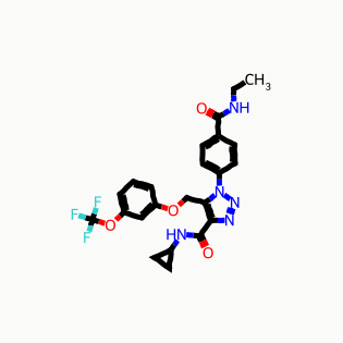 CCNC(=O)c1ccc(-n2nnc(C(=O)NC3CC3)c2COc2cccc(OC(F)(F)F)c2)cc1